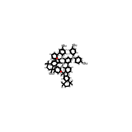 CC(C)(C)c1ccc(N2B3c4c(cc(N(c5ccc(C(C)(C)C)cc5)c5ccc(C(C)(C)C)cc5)cc4N(c4ccc(C(C)(C)C)cc4-c4ccccc4)c4sc5cc6c(cc5c43)C(C)(C)CCC6(C)C)-c3ccc4c(c32)C(C)(C)c2cc3c(cc2-4)C(C)(C)CCC3(C)C)cc1